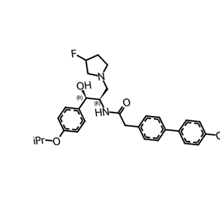 CC(C)Oc1ccc([C@@H](O)[C@@H](CN2CCC(F)C2)NC(=O)Cc2ccc(-c3ccc(Cl)cc3)cc2)cc1